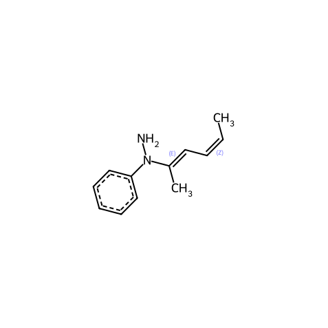 C/C=C\C=C(/C)N(N)c1ccccc1